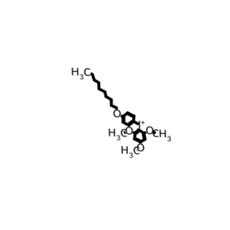 CCCCCCCCCCOc1ccc([I+]c2c(OC)cc(OC)cc2OC)cc1